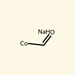 O=[CH][Co].[NaH]